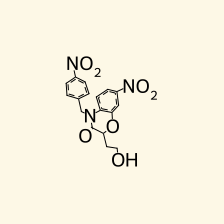 O=C1C(CCO)Oc2cc([N+](=O)[O-])ccc2N1Cc1ccc([N+](=O)[O-])cc1